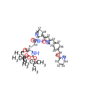 CC(C)(C)OC(=O)N[C@@H](CCC(=O)Nc1ncccc1-c1cc(Cc2ccc(COc3ccccn3)cc2)no1)C(=O)OC(C)(C)C